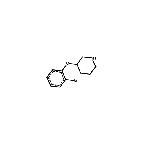 Brc1ccccc1OC1CC[CH]NC1